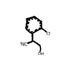 N#CC(CO)c1ccccc1Cl